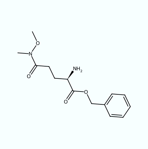 CON(C)C(=O)CC[C@@H](N)C(=O)OCc1ccccc1